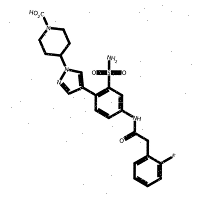 NS(=O)(=O)c1cc(NC(=O)Cc2ccccc2F)ccc1-c1cnn(C2CCN(C(=O)O)CC2)c1